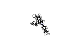 CCOC(=O)CC1(C)C(/C=C/c2ccc(N(CC)CC)cc2)=[N+](C)c2cc(Cl)c(Cl)cc21